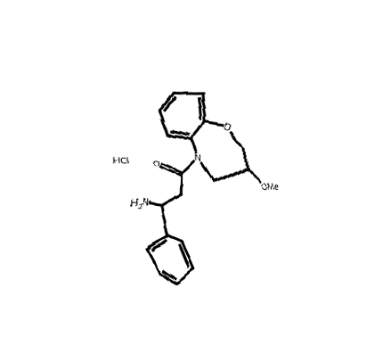 COC1COc2ccccc2N(C(=O)CC(N)c2ccccc2)C1.Cl